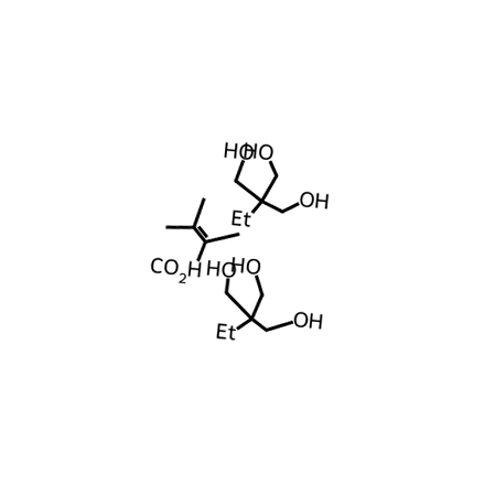 CC(C)=C(C)C(=O)O.CCC(CO)(CO)CO.CCC(CO)(CO)CO